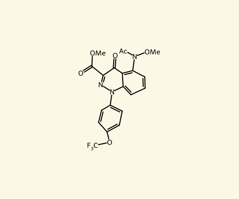 COC(=O)c1nn(-c2ccc(OC(F)(F)F)cc2)c2cccc(N(OC)C(C)=O)c2c1=O